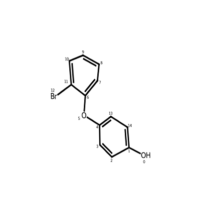 Oc1ccc(Oc2ccccc2Br)cc1